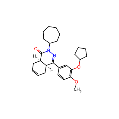 COc1ccc(C2=NN(C3CCCCCC3)C(=O)[C@@H]3CC=CC[C@H]23)cc1OC1CCCC1